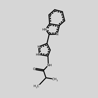 CC(C)C(=O)Nc1cc(-c2nc3ccccc3[nH]2)n[nH]1